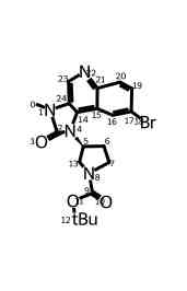 Cn1c(=O)n([C@H]2CCN(C(=O)OC(C)(C)C)C2)c2c3cc(Br)ccc3ncc21